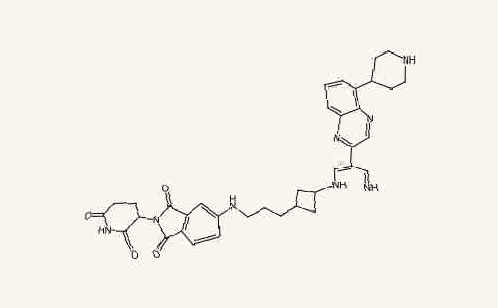 N=C/C(=C\NC1CC(CCCNc2ccc3c(c2)C(=O)N(C2CCC(=O)NC2=O)C3=O)C1)c1cnc2c(C3CCNCC3)cccc2n1